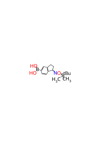 CC(C)(C)[Si](C)(C)ON=C1CCc2cc(B(O)O)ccc21